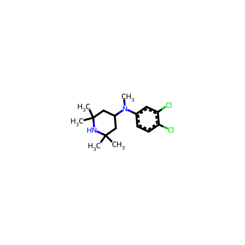 CN(c1ccc(Cl)c(Cl)c1)C1CC(C)(C)NC(C)(C)C1